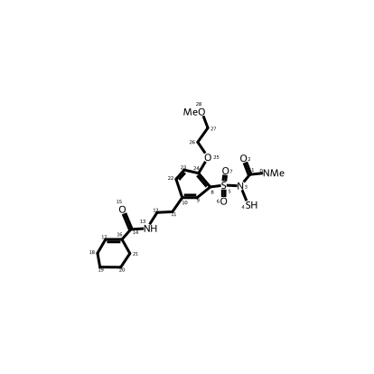 CNC(=O)N(S)S(=O)(=O)c1cc(CCNC(=O)C2=CCCCC2)ccc1OCCOC